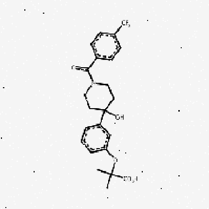 CC(C)(Oc1cccc(C2(O)CCN(C(=O)c3ccc(C(F)(F)F)cc3)CC2)c1)C(=O)O